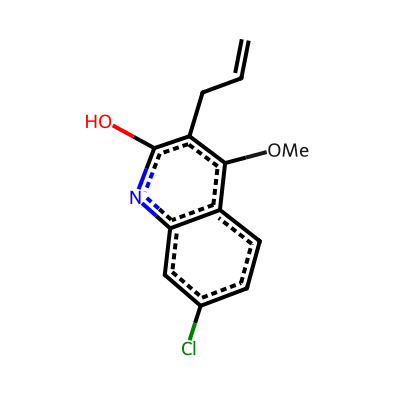 C=CCc1c(O)nc2cc(Cl)ccc2c1OC